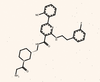 N#Cc1ccccc1-c1ccc(C(=O)NC[C@H]2CCCN(C(=O)CN)C2)c(NCCc2cccc(F)c2)n1